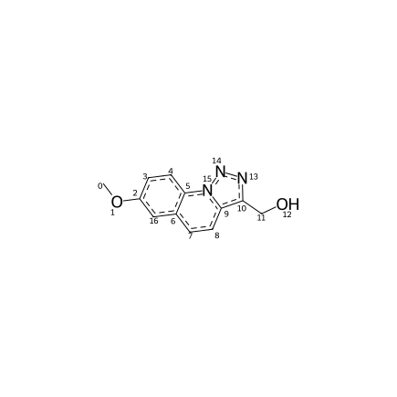 COc1ccc2c(ccc3c(CO)nnn32)c1